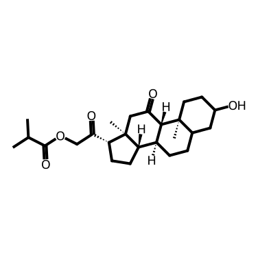 CC(C)C(=O)OCC(=O)[C@H]1CC[C@H]2[C@@H]3CCC4CC(O)CC[C@]4(C)[C@H]3C(=O)C[C@]12C